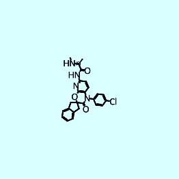 CN[C@@H](C)C(=O)Nc1ccc2c(n1)OC1(Cc3ccccc3C1)C(=O)N2c1ccc(Cl)cc1